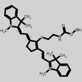 CN1/C(=C/C=C2\CCC(/C=C/C3=[N+](C)c4ccccc4C3(C)C)=C2SCCNC(=O)OC(C)(C)C)C(C)(C)c2ccccc21